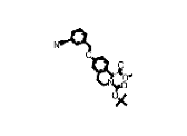 COC(=O)[C@H]1c2ccc(OCc3cccc(C#N)c3)cc2CCN1C(=O)OC(C)(C)C